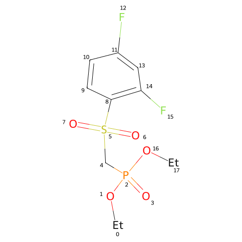 CCOP(=O)(CS(=O)(=O)c1ccc(F)cc1F)OCC